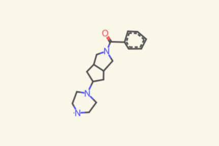 O=C(c1ccccc1)N1CC2CC(N3CC[N]CC3)CC2C1